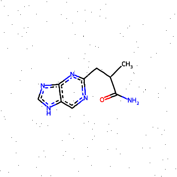 CC(Cc1ncc2[nH]cnc2n1)C(N)=O